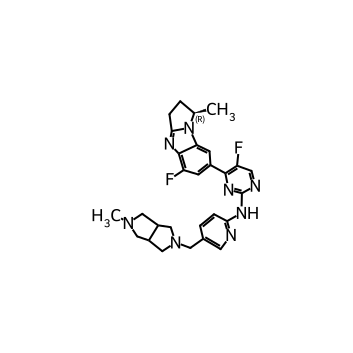 C[C@@H]1CCc2nc3c(F)cc(-c4nc(Nc5ccc(CN6CC7CN(C)CC7C6)cn5)ncc4F)cc3n21